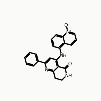 O=C1NCCc2nc(-c3ccccc3)cc(Nc3cccc4c3ccc[n+]4[O-])c21